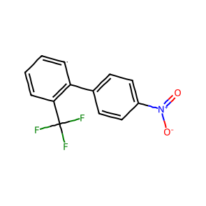 O=[N+]([O-])c1ccc(-c2[c]cccc2C(F)(F)F)cc1